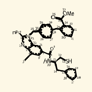 CCCc1nc2c(C)cc(C(=O)N[C@@H](CS)Cc3ccccc3)cc2n1Cc1ccc(-c2ccccc2C(=O)OC)cc1